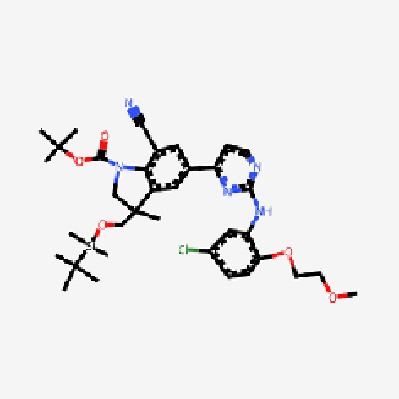 COCCOc1ccc(Cl)cc1Nc1nccc(-c2cc(C#N)c3c(c2)C(C)(CO[Si](C)(C)C(C)(C)C)CN3C(=O)OC(C)(C)C)n1